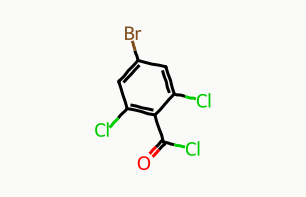 O=C(Cl)c1c(Cl)cc(Br)cc1Cl